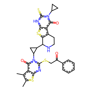 Cc1sc2nc(SCC(=O)c3ccccc3)n(C3CC3C3NCCc4c3sc3[nH]c(=S)n(C5CC5)c(=O)c43)c(=O)c2c1C